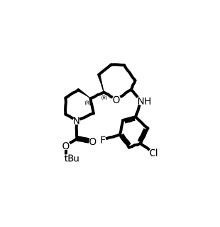 CC(C)(C)OC(=O)N1CCC[C@@H]([C@H]2CCCCC(Nc3cc(F)cc(Cl)c3)O2)C1